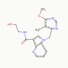 COc1ncnc(Cn2cc(C(=O)NCCO)c3ncccc32)c1C